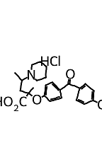 CC(CC(C)(Oc1ccc(C(=O)c2ccc(Cl)cc2)cc1)C(=O)O)N1CCCCC1.Cl